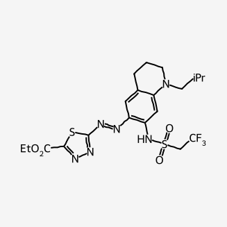 CCOC(=O)c1nnc(N=Nc2cc3c(cc2NS(=O)(=O)CC(F)(F)F)N(CC(C)C)CCC3)s1